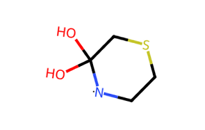 OC1(O)CSCC[N]1